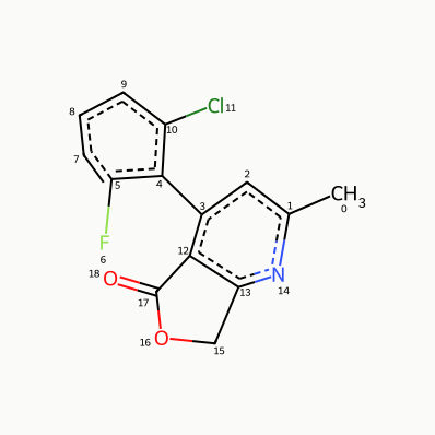 Cc1cc(-c2c(F)cccc2Cl)c2c(n1)COC2=O